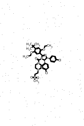 CCOc1cc(C(C)(C)C)c(OCC)cc1C1=N[C@@H](c2ccc(Cl)cc2)[C@@H](c2ccc(Cl)cc2)N1C(=O)N1CCN(CCS(C)(=O)=O)CC1